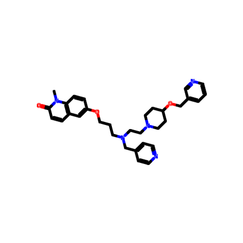 Cn1c(=O)ccc2cc(OCCCN(CCN3CCC(OCc4cccnc4)CC3)Cc3ccncc3)ccc21